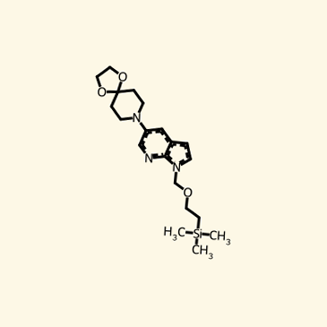 C[Si](C)(C)CCOCn1ccc2cc(N3CCC4(CC3)OCCO4)cnc21